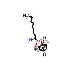 C=CCCCCCC[C@H](N)B1O[C@@H]2C[C@@H]3C[C@@H](C3(C)C)[C@]2(C)O1